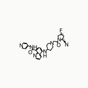 N#C[C@@H]1C[C@H](F)CN1C(=O)CN1CCC(Nc2ccc(C(=O)Nc3ccncc3)c3ncccc23)CC1